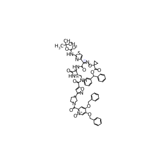 CC(C)(C)OC(=O)Nc1nc(/C(=N/OC2(C(=O)OC(c3ccccc3)c3ccccc3)CC2)C(=O)N[C@@H]2C(=O)N[C@@H]2CNC(=O)c2cc([C@@H]3CCN(C(=O)c4cc(OCc5ccccc5)c(OCc5ccccc5)c[n+]4[O-])C3)no2)cs1